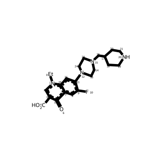 CCn1cc(C(=O)O)c(=O)c2cc(F)c(N3CCN(CC4CCNCC4)CC3)cc21